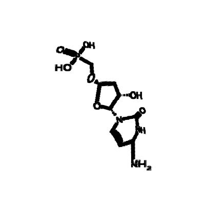 NC1C=CN([C@@H]2O[C@H](OCP(=O)(O)O)C[C@@H]2O)C(=O)N1